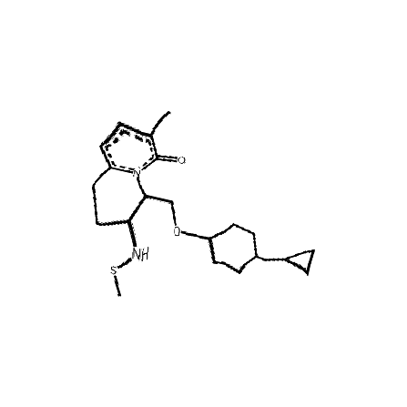 CSNC1CCc2ccc(C)c(=O)n2C1COC1CCC(C2CC2)CC1